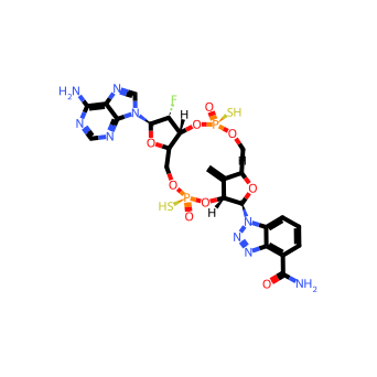 C=C1[C@H]2O[P@@](=O)(S)OCC3O[C@@H](n4cnc5c(N)ncnc54)[C@H](F)[C@@H]3O[P@@](=O)(S)OC[C@H]1O[C@H]2n1nnc2c(C(N)=O)cccc21